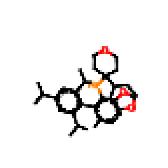 COc1ccc(C)c(-c2c(C(C)C)cc(C(C)C)cc2C(C)C)c1PC1(C2CCOCC2)CCOCC1